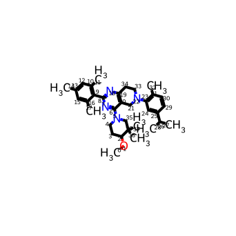 COC1CCN(c2nc(-c3c(C)cc(C)cc3C)nc3c2CN(c2cc(C(C)C)ccc2C)CC3)CC1(C)C